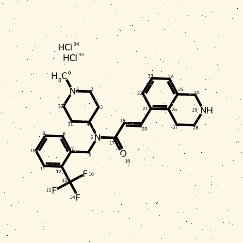 CN1CCC(N(Cc2ccccc2C(F)(F)F)C(=O)/C=C/c2cccc3c2CCNC3)CC1.Cl.Cl